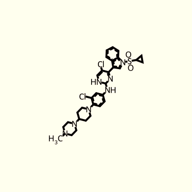 CN1CCN(C2CCN(c3ccc(NC4N=C(c5cn(S(=O)(=O)C6CC6)c6ccccc56)C(Cl)=CN4)cc3Cl)CC2)CC1